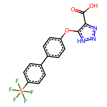 O=C(O)c1nn[nH]c1Oc1ccc(-c2ccc(S(F)(F)(F)(F)F)cc2)cc1